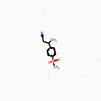 CC(CC#N)c1ccc(S(C)(=O)=O)cc1